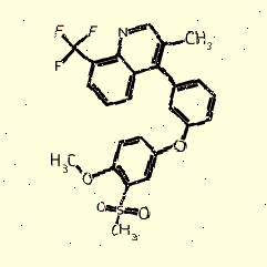 COc1ccc(Oc2cccc(-c3c(C)cnc4c(C(F)(F)F)cccc34)c2)cc1S(C)(=O)=O